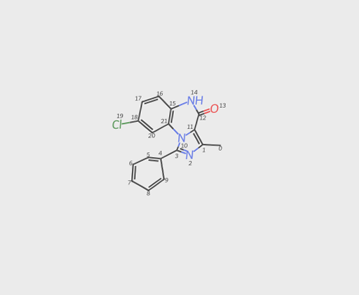 Cc1nc(-c2ccccc2)n2c1c(=O)[nH]c1ccc(Cl)cc12